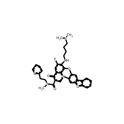 CN(C)CCCCNc1c(F)cc2c(=O)c(C(=O)N(C)CCc3ccccn3)cn3c2c1Oc1cc2c(cc1-3)oc1ccccc12